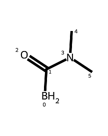 BC(=O)N(C)C